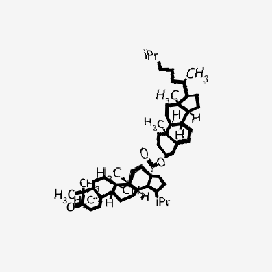 CC(C)CCC[C@@H](C)[C@H]1CC[C@H]2[C@@H]3CC=C4C[C@H](OC(=O)[C@]56CCC(C(C)C)C5[C@H]5CC[C@@H]7[C@@]8(C)CCC(=O)C(C)(C)C8CC[C@@]7(C)[C@]5(C)CC6)CC[C@]4(C)[C@H]3CC[C@]12C